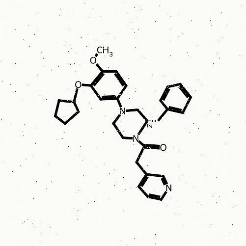 COc1ccc(N2CCN(C(=O)Cc3cccnc3)[C@@H](Cc3ccccc3)C2)cc1OC1CCCC1